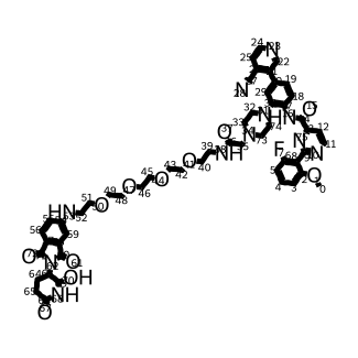 COc1cccc(F)c1-c1nccc(C(=O)Nc2ccc(-c3cnccc3C#N)cc2N2CCN(CC(=O)NCCOCCOCCOCCOCCNc3ccc4c(c3)C(=O)N(C3CCC(=O)NC3O)C4=O)CC2)n1